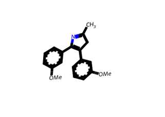 COc1cccc(C2=C(c3cccc(OC)c3)N=C(C)C2)c1